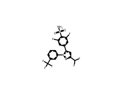 NS(=O)(=O)c1c(F)cc(-c2cc(C(F)F)nn2-c2cccc(C(F)(F)F)c2)cc1F